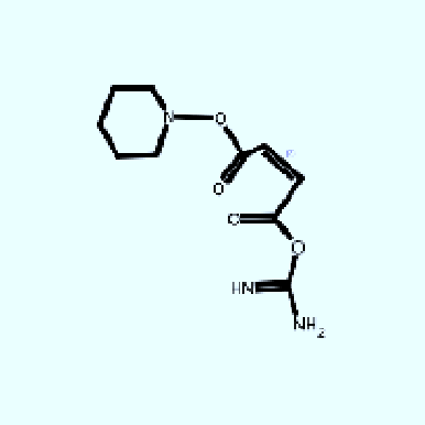 N=C(N)OC(=O)/C=C\C(=O)ON1CCCCC1